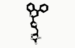 O=c1[nH]c(Cc2ccc(-c3cc(-c4ccccc4)c4ccccc4n3)s2)no1